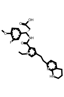 CCn1cc(CCc2ccc3c(n2)NCCC3)cc1C(=O)N[C@@H](CC(=O)O)c1ccc(OC)c(F)c1